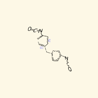 C=C(/C=C\C(=C/C)Cc1ccc(N=C=O)cc1)N=C=O